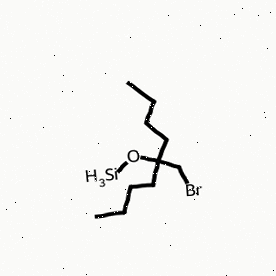 CCCCC(CBr)(CCCC)O[SiH3]